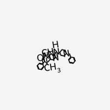 Cc1ccccc1N1Cc2cnc(NC3CCN(Cc4ccccc4)CC3)nc2N(C)C1=O